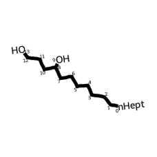 CCCCCCCCCCCCCCC(O)CCCO